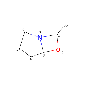 CC1OC2CCCN12